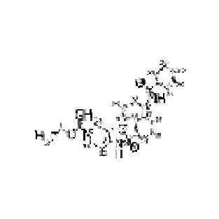 C=C(OCC)N1CCC(NS(=O)(=O)c2cccc3c(NC(=O)c4ccccc4)cccc23)CC1